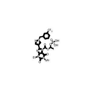 CCCn1c(=O)c2c(nc(-c3cnn(Cc4cccc(C(F)(F)F)c4)c3)n2C(=O)OC(I)OP(=O)(O)O)n(CC)c1=O